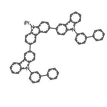 CC(C)n1c2ccc(-c3ccc4c(c3)c3ccccc3n4-c3cccc(-c4ccccc4)c3)cc2c2cc(-c3ccc4c(c3)c3ccccc3n4-c3cccc(-c4ccccc4)c3)ccc21